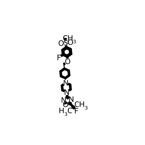 CC(C)(F)c1nc(N2CCN([C@H]3CC[C@H](COc4ccc(S(C)(=O)=O)cc4F)CC3)CC2)no1